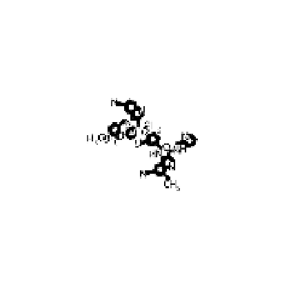 CCc1cc(C#N)cc2c(NCc3ccc(OC)c(Cl)c3)c(C(=O)NCc3ccccn3)cnc12.COc1ccc(CNc2c(CN3CC[C@@H](O)C3)cnc3ccc(C#N)cc23)cc1Cl